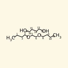 CCCCOCCOCCCC.OCCCCO